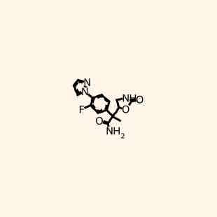 CC(C(N)=O)(c1ccc(-n2cccn2)c(F)c1)C1CNC(=O)O1